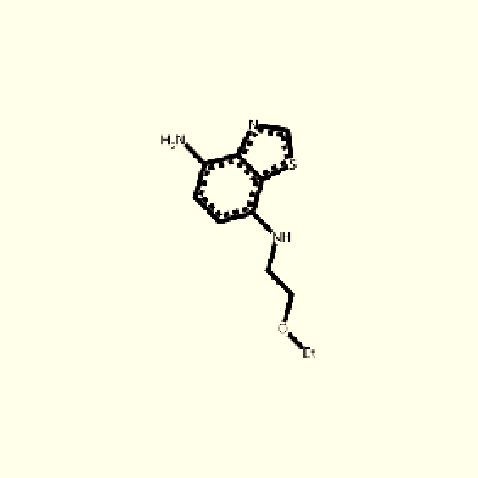 CCOCCNc1ccc(N)c2ncsc12